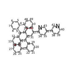 c1ccc(-c2ccccc2-c2c3ccccc3c(-c3ccccc3-c3ccccc3)c3cc(-c4ccc(-c5cccnc5)cn4)ccc23)cc1